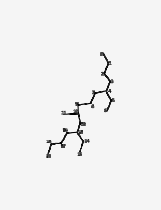 CCCCC(CC)CC[CH]C(C)CC(CC)CCCC